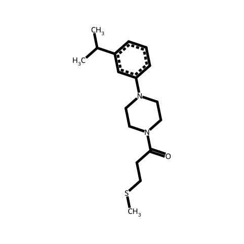 CSCCC(=O)N1CCN(c2cccc(C(C)C)c2)CC1